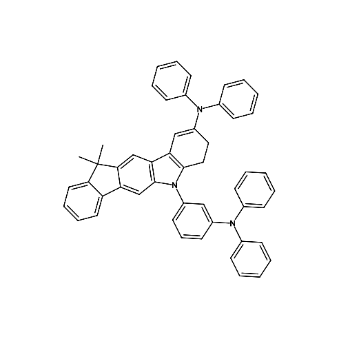 CC1(C)c2ccccc2-c2cc3c(cc21)c1c(n3-c2cccc(N(c3ccccc3)c3ccccc3)c2)CCC(N(c2ccccc2)c2ccccc2)=C1